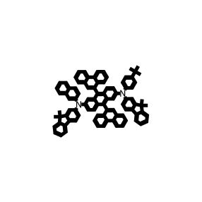 CC(C)(C)c1ccc(N(c2ccc3c(c2)C(C)(C)c2ccccc2-3)c2ccc3c(-c4cc5ccccc5c5ccccc45)c4cc(N(c5ccc6c(c5)C(C)(C)c5ccccc5-6)c5ccc6ccccc6c5)ccc4c(-c4cc5ccccc5c5ccccc45)c3c2)cc1